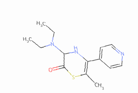 CCN(CC)C1NC(c2ccncc2)=C(C)SC1=O